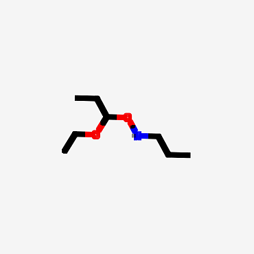 CCC[N]OC(CC)OCC